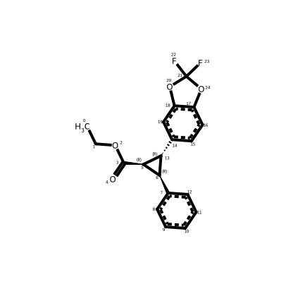 CCOC(=O)[C@@H]1[C@H](c2ccccc2)[C@H]1c1ccc2c(c1)OC(F)(F)O2